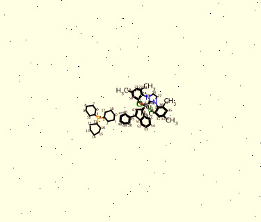 C1CCC(P(C2CCCCC2)C2CCCCC2)CC1.Cc1cc(C)c(N2CCN(c3c(C)cc(C)cc3C)[C]2=[Ru]([Cl])([Cl])=[C]2C=C(c3ccccc3)c3ccccc32)c(C)c1